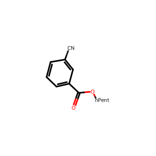 CCCCCOC(=O)c1cccc(C#N)c1